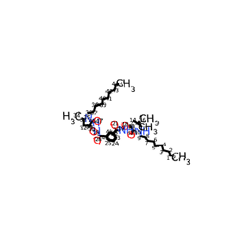 CCCCCCCCCCNC(=O)[C@@H](CC(C)C)ONC(=O)c1cccc(C(=O)NO[C@@H]2CC(C)N(CCCCCCCCCC)C2=O)c1